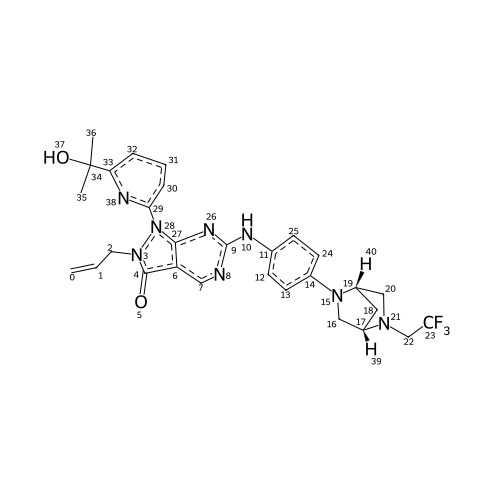 C=CCn1c(=O)c2cnc(Nc3ccc(N4C[C@@H]5C[C@H]4CN5CC(F)(F)F)cc3)nc2n1-c1cccc(C(C)(C)O)n1